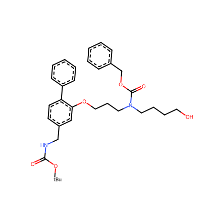 CC(C)(C)OC(=O)NCc1ccc(-c2ccccc2)c(OCCCN(CCCCO)C(=O)OCc2ccccc2)c1